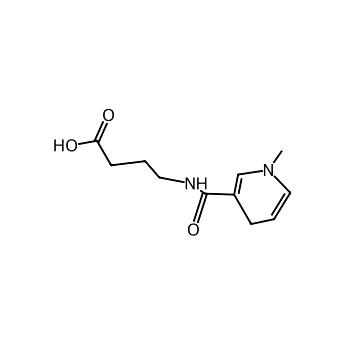 CN1C=CCC(C(=O)NCCCC(=O)O)=C1